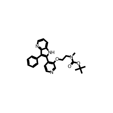 CN(CCOc1cnccc1-c1[nH]c2cccnc2c1-c1ccccc1)C(=O)OC(C)(C)C